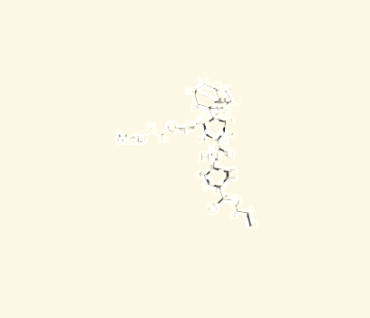 C=CCOC(=O)c1ccc(NC(=O)c2ccc(C34CC5CC(CC(C5)C3)C4)c(OCOCCOC)c2)cc1